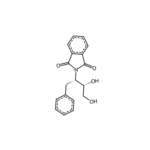 O=C1c2ccccc2C(=O)N1[C@@H](Cc1ccccc1)[C@H](O)CO